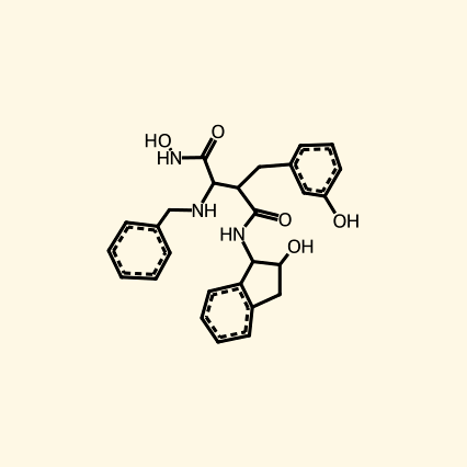 O=C(NC1c2ccccc2CC1O)C(Cc1cccc(O)c1)C(NCc1ccccc1)C(=O)NO